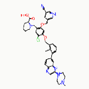 Cc1c(COc2cc(OCc3cncc(C#N)c3)c(CN3CCCCC3C(=O)O)cc2Cl)cccc1-c1ccc2ncc(N3CCN(C)CC3)nc2c1